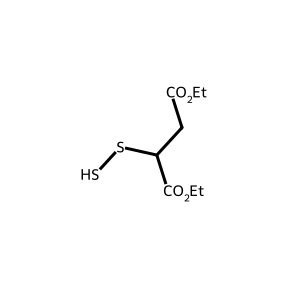 CCOC(=O)CC(SS)C(=O)OCC